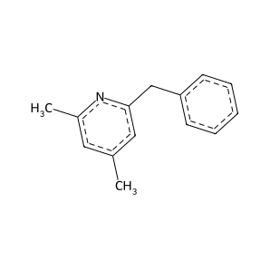 Cc1cc(C)nc(Cc2ccccc2)c1